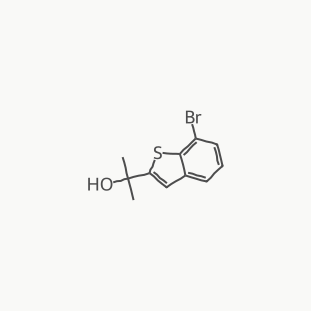 CC(C)(O)c1cc2cccc(Br)c2s1